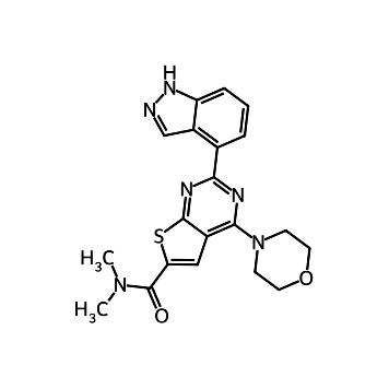 CN(C)C(=O)c1cc2c(N3CCOCC3)nc(-c3cccc4[nH]ncc34)nc2s1